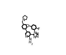 Nc1ncc(-c2ccc(CN3CCCC3)cc2)cc1-c1nnnn1-c1cc(Cl)ccc1F